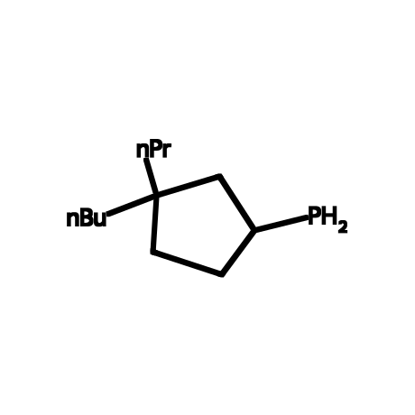 CCCCC1(CCC)CCC(P)C1